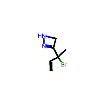 C=CC(C)(Br)C1=NNC1